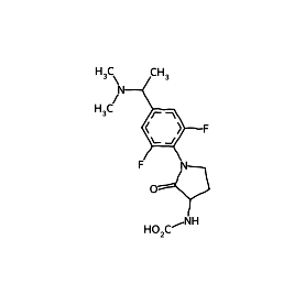 CC(c1cc(F)c(N2CCC(NC(=O)O)C2=O)c(F)c1)N(C)C